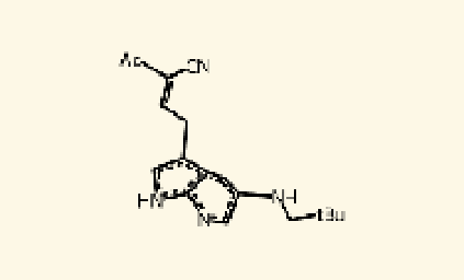 CC(=O)/C(C#N)=C/Cc1c[nH]c2ncc(NCC(C)(C)C)cc12